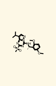 COc1ccc(OC)c([C@H](C)Nc2nc(S(C)(=O)=O)nc3c(C(C)C)cnn23)c1